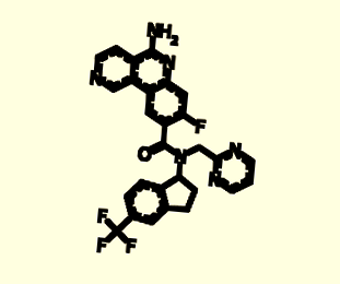 Nc1nc2cc(F)c(C(=O)N(Cc3ncccn3)C3CCc4cc(C(F)(F)F)ccc43)cc2c2cnccc12